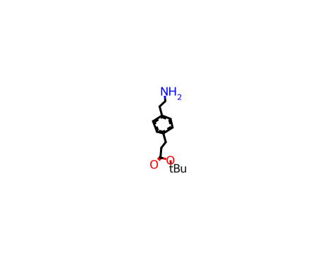 CC(C)(C)OC(=O)CCc1ccc(CCN)cc1